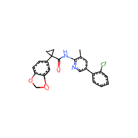 Cc1cc(-c2ccccc2Cl)cnc1NC(=O)C1(c2ccc3c(c2)OCO3)CC1